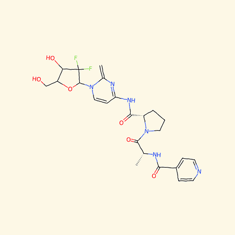 C=C1N=C(NC(=O)[C@@H]2CCCN2C(=O)[C@@H](C)NC(=O)c2ccncc2)C=CN1C1OC(CO)C(O)C1(F)F